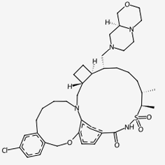 C[C@@H]1[C@@H](C)CCC[C@@H](CN2CCN3CCOC[C@@H]3C2)[C@@H]2CC[C@H]2CN2CCCCc3cc(Cl)ccc3COc3ccc(cc32)C(=O)NS1(=O)=O